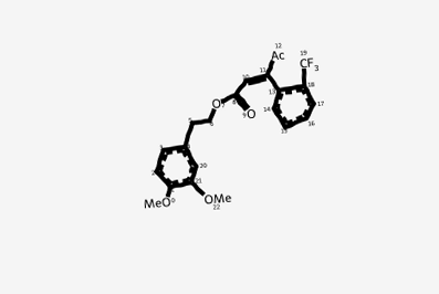 COc1ccc(CCOC(=O)C=C(C(C)=O)c2ccccc2C(F)(F)F)cc1OC